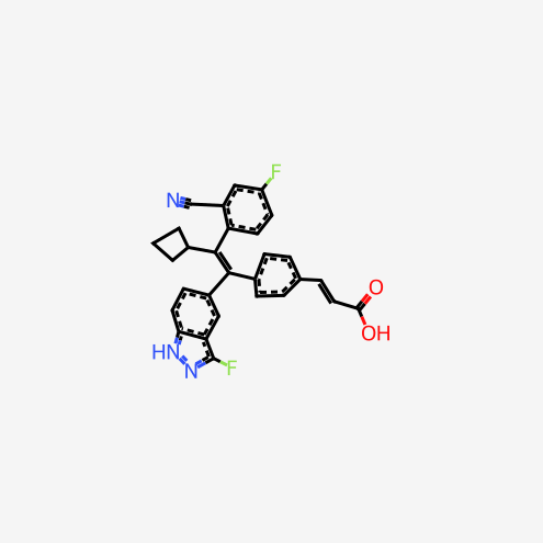 N#Cc1cc(F)ccc1C(=C(c1ccc(C=CC(=O)O)cc1)c1ccc2[nH]nc(F)c2c1)C1CCC1